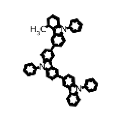 CC1CC=Cc2c1c1cc(-c3ccc4c(c3)c3cc(-c5ccc6c(c5)c5ccccc5n6-c5ccccc5)ccc3n4-c3ccccc3)ccc1n2-c1ccccc1